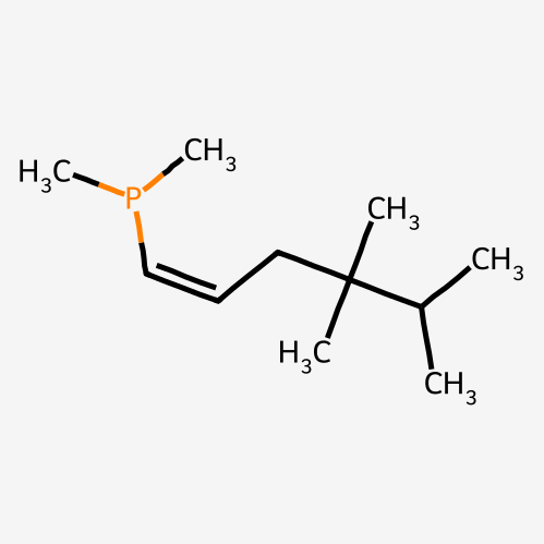 CC(C)C(C)(C)C/C=C\P(C)C